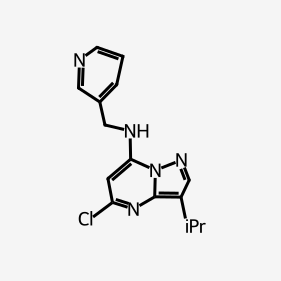 CC(C)c1cnn2c(NCc3cccnc3)cc(Cl)nc12